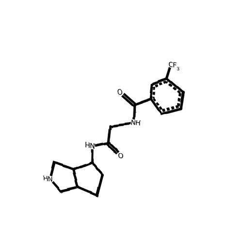 O=C(CNC(=O)c1cccc(C(F)(F)F)c1)NC1CCC2CNCC21